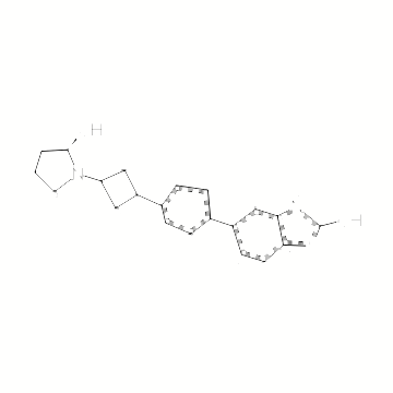 Cc1nc2cc(-c3ccc(C4CC(N5CCC[C@H]5C)C4)cc3)ccc2s1